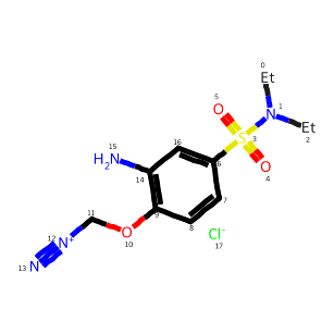 CCN(CC)S(=O)(=O)c1ccc(OC[N+]#N)c(N)c1.[Cl-]